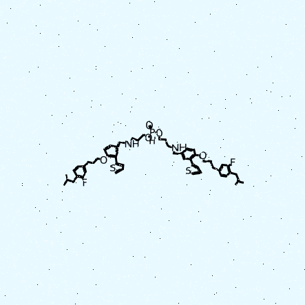 CC(C)Cc1ccc(CCCOc2ccc(CNCCCO[PH](=O)OCCCNCc3ccc(OCCCc4ccc(CC(C)C)c(F)c4)c(-c4cccs4)c3)cc2-c2cccs2)cc1F